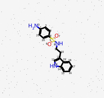 Nc1ccc(S(=O)(=O)NCCc2c[nH]c3ccccc23)cc1